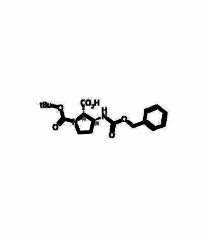 CC(C)(C)OC(=O)N1CC[C@@H](NC(=O)OCc2ccccc2)[C@H]1C(=O)O